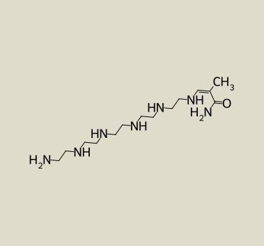 CC(=CNCCNCCNCCNCCNCCN)C(N)=O